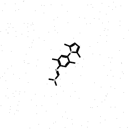 Cc1cc(-n2c(C)ccc2C)c(C)cc1N=CN(C)C